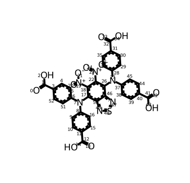 O=C(O)c1ccc(N(c2ccc(C(=O)O)cc2)c2c([N+](=O)[O-])c([N+](=O)[O-])c(N(c3ccc(C(=O)O)cc3)c3ccc(C(=O)O)cc3)c3nsnc23)cc1